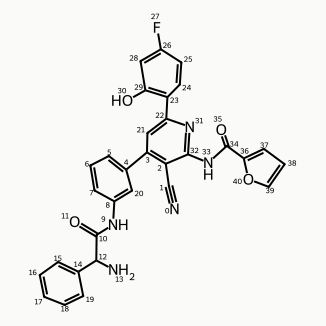 N#Cc1c(-c2cccc(NC(=O)C(N)c3ccccc3)c2)cc(-c2ccc(F)cc2O)nc1NC(=O)c1ccco1